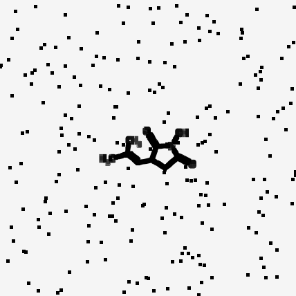 CC(C)=CC1CC(=O)N(O)C1=O